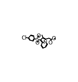 COC(=O)Cc1c(C)c(S(=O)(=O)c2ccc(Cl)cc2)c2ccccn12